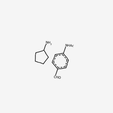 CC(=O)Nc1ccc(C=O)cc1.NC1CCCC1